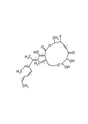 C\C=C/C=C\C(=C/C)C(\C)=C\C(O)=C1\C(=O)OC(C)C(F)/C=C\C(=O)C(O)C(O)CCC\C1=C\C